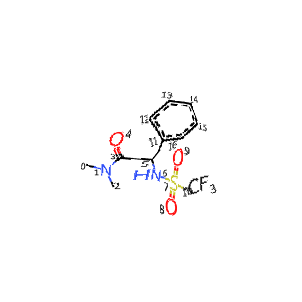 CN(C)C(=O)C(NS(=O)(=O)C(F)(F)F)c1ccccc1